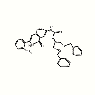 O=C(Nc1ccc2cc(-c3ccccc3C(F)(F)F)[nH]c(=O)c2c1)OC(COCc1ccccc1)COCc1ccccc1